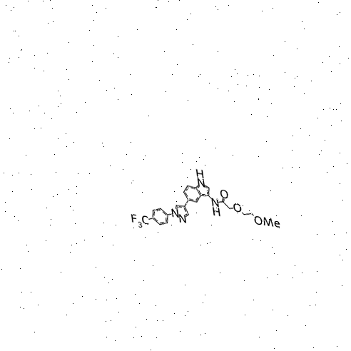 COCCOCC(=O)Nc1c[nH]c2ccc(-c3cnn(-c4ccc(C(F)(F)F)cc4)c3)cc12